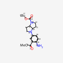 COC(=O)c1cc(N2CCC3C2CCN3C(=O)OC(C)(C)C)ccc1N